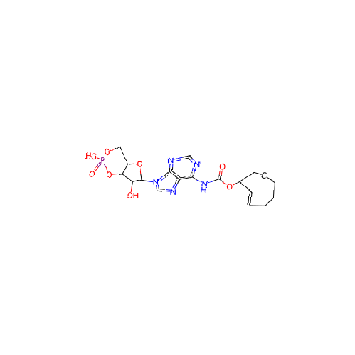 O=C(Nc1ncnc2c1ncn2C1OC2COP(=O)(O)OC2C1O)OC1/C=C/CCCCC1